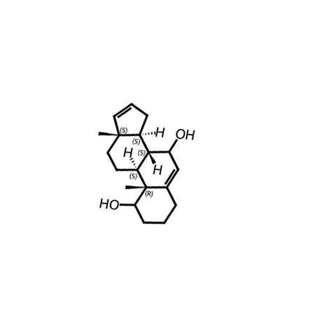 C[C@@]12C=CC[C@H]1[C@@H]1C(O)C=C3CCCC(O)[C@]3(C)[C@H]1CC2